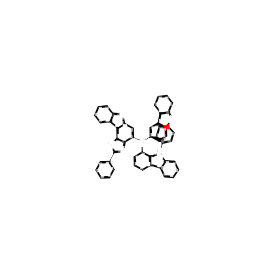 c1ccc(-c2nc3c(o2)c(N(c2ccc4sc5ccccc5c4c2)c2cccc4c5ccccc5n(-c5ccccc5)c24)cc2oc4ccccc4c23)cc1